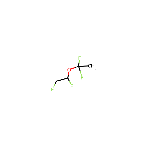 CC(F)(F)OC(F)CF